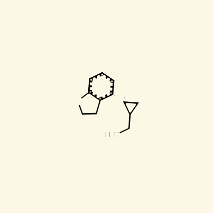 NCC1C[C@H]1c1cccc2c1CCO2